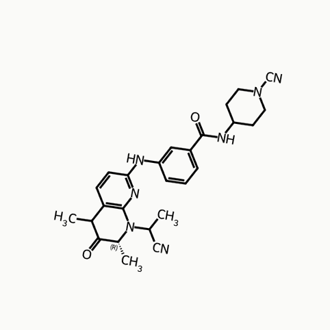 CC1C(=O)[C@@H](C)N(C(C)C#N)c2nc(Nc3cccc(C(=O)NC4CCN(C#N)CC4)c3)ccc21